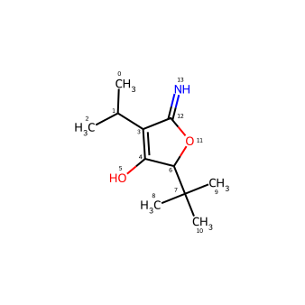 CC(C)C1=C(O)C(C(C)(C)C)OC1=N